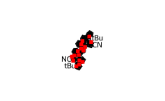 CC(C)(C)c1cccc2c1oc1c(N(c3ccc(C#N)cc3)c3cc4oc5cc(N(c6ccc(C#N)cc6)c6cccc7c6oc6c(C(C)(C)C)cccc67)c6ccccc6c5c4c4ccccc34)cccc12